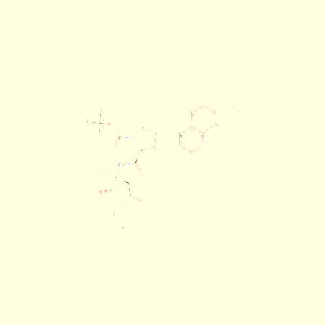 C=CC[C@@](CC)(NC(=O)[C@@H]1C[C@@H](Oc2ccnc3cc(OC)ccc23)CN1C(=O)OC(C)(C)C)C(=O)OCC